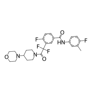 Cc1cc(NC(=O)c2ccc(F)c(C(F)(F)C(=O)N3CCC(N4CCOCC4)CC3)c2)ccc1F